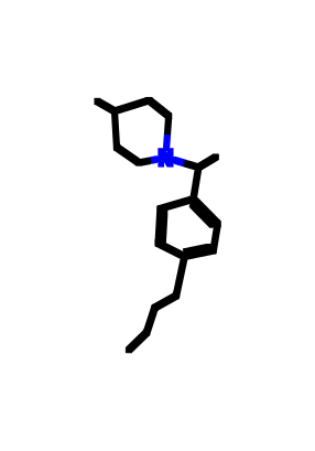 CCCCc1ccc(C(C)N2CCC(C)CC2)cc1